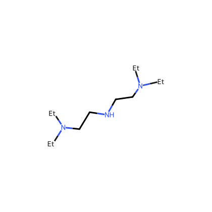 CCN(CC)CCNCCN(CC)CC